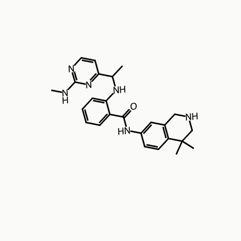 CNc1nccc(C(C)Nc2ccccc2C(=O)Nc2ccc3c(c2)CNCC3(C)C)n1